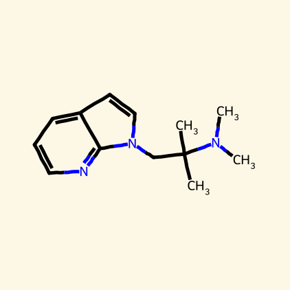 CN(C)C(C)(C)Cn1ccc2cccnc21